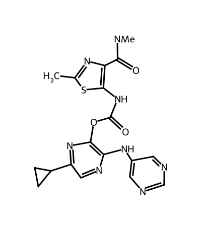 CNC(=O)c1nc(C)sc1NC(=O)Oc1nc(C2CC2)cnc1Nc1cncnc1